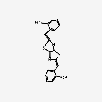 Oc1ccccc1C=c1nc2sc(=Cc3ccccc3O)nc2s1